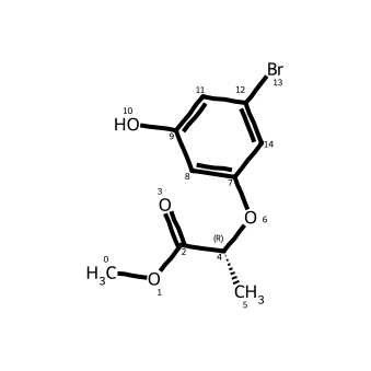 COC(=O)[C@@H](C)Oc1cc(O)cc(Br)c1